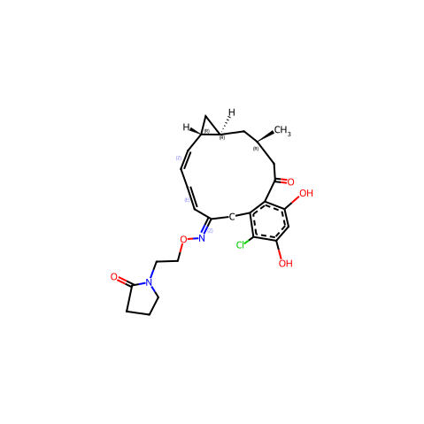 C[C@H]1CC(=O)c2c(O)cc(O)c(Cl)c2CC(=N/OCCN2CCCC2=O)/C=C/C=C\[C@@H]2C[C@H]2C1